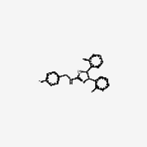 Cc1ccccc1C1N=C(NCc2ccc(F)cc2)NC1c1ccccc1C